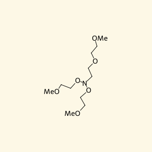 COCCOCCN(OCCOC)OCCOC